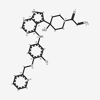 C=CC(=O)N1CCC(O)(c2c[nH]c3ncnc(Nc4ccc(OCc5ccccn5)c(Cl)c4)c23)CC1